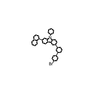 Brc1ccc(-c2cccc(-c3ccc4c(c3)c3ccc(-c5cccc6ccccc56)cc3n4-c3ccccc3)c2)cc1